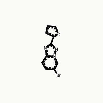 Brc1ccc2nc(-c3ccco3)nn2c1